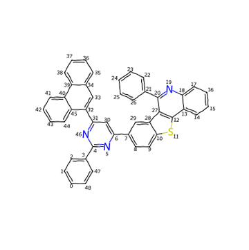 c1ccc(-c2nc(-c3ccc4sc5c6ccccc6nc(-c6ccccc6)c5c4c3)cc(-c3cc4ccccc4c4ccccc34)n2)cc1